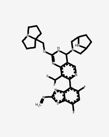 C=Nc1nc2c(-c3ncc4c(c3C(F)F)N=C(OCC35CCCN3CCC5)NC4N3CC4CCC(C3)N4)c(F)cc(F)c2s1